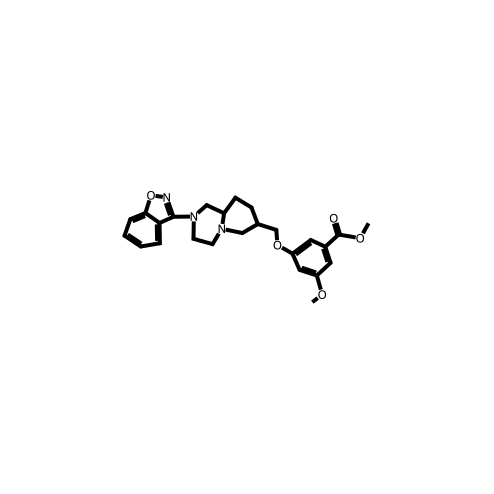 COC(=O)c1cc(OC)cc(OCC2CCC3CN(c4noc5ccccc45)CCN3C2)c1